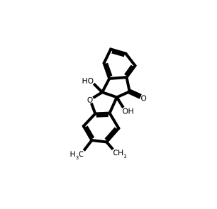 Cc1cc2c(cc1C)C1(O)C(=O)c3ccccc3C1(O)O2